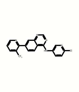 FC(F)(F)c1cccnc1-c1ccc2c(Nc3ccc(Cl)nc3)ncnc2c1